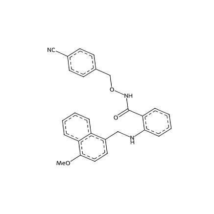 COc1ccc(CNc2ccccc2C(=O)NOCc2ccc(C#N)cc2)c2ccccc12